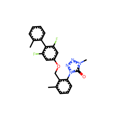 Cc1ccccc1-c1c(F)cc(OCc2c(C)cccc2-n2nnn(C)c2=O)cc1F